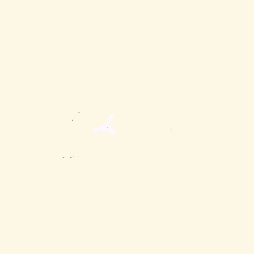 CCc1ccc(CN2CCCC3CCCCC32)cc1